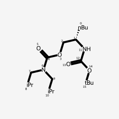 CCCC[C@@H](COC(=O)N(CC(C)C)CC(C)C)NC(=O)OC(C)(C)C